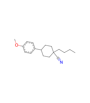 CCCCC1(C#N)CCC(c2ccc(OC)cc2)CC1